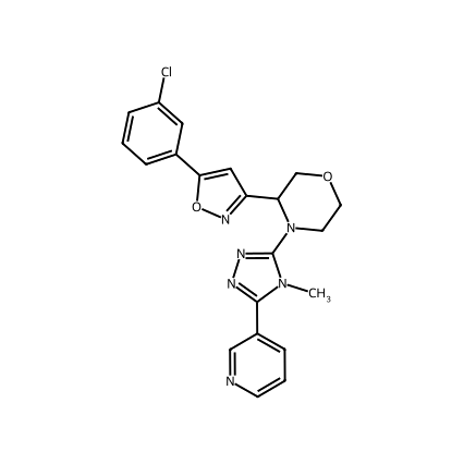 Cn1c(-c2cccnc2)nnc1N1CCOCC1c1cc(-c2cccc(Cl)c2)on1